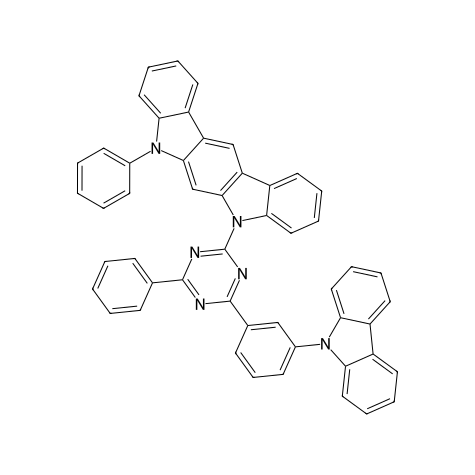 c1ccc(-c2nc(-c3cccc(-n4c5ccccc5c5ccccc54)c3)nc(-n3c4ccccc4c4cc5c6ccccc6n(-c6ccccc6)c5cc43)n2)cc1